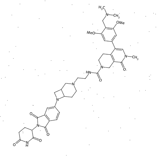 COc1cc(-c2cn(C)c(=O)c3c2CCN(C(=O)NCCN2CCC4C(C2)CN4c2ccc4c(c2)C(=O)N(C2CCC(=O)NC2=O)C4=O)C3)cc(OC)c1CN(C)C